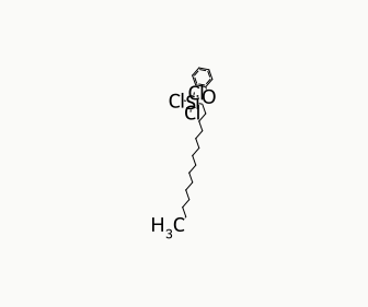 CCCCCCCCCCCCCCC(Oc1ccccc1)[Si](Cl)(Cl)Cl